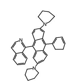 C1=CCCC(c2c3cc(N4CCCCC4)ccc3c(-c3nccc4ccccc34)c3cc(N4CCCCC4)ccc23)=C1